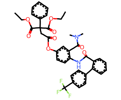 CCOC(=O)C(CC(=O)Oc1ccc(NC(=O)c2ccccc2-c2ccc(C(F)(F)F)cc2)c(C(=O)N(C)C)c1)(C(=O)OCC)c1ccccc1